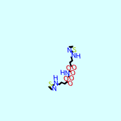 O=C(CCCNc1nccs1)OC(=O)NC(=O)OC(=O)CCCNc1nccs1